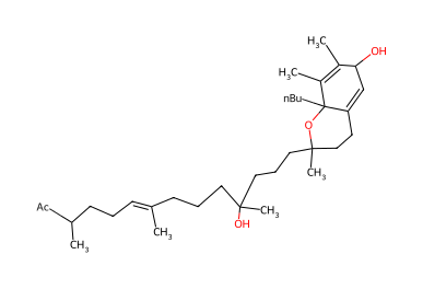 CCCCC12OC(C)(CCCC(C)(O)CCC/C(C)=C/CCC(C)C(C)=O)CCC1=CC(O)C(C)=C2C